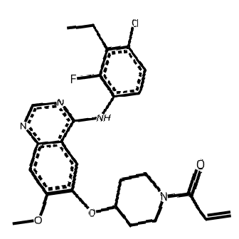 C=CC(=O)N1CCC(Oc2cc3c(Nc4ccc(Cl)c(CC)c4F)ncnc3cc2OC)CC1